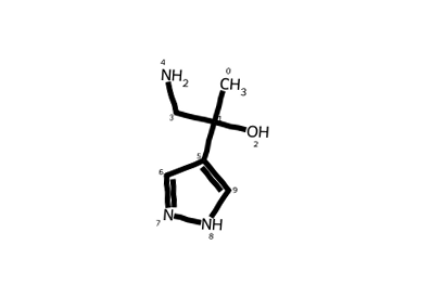 CC(O)(CN)c1cn[nH]c1